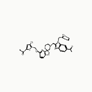 CC(=O)c1ccc2nc(CN3CCCC4(COc5ccc(OCc6sc(C(C)=O)cc6Cl)nc54)C3)n(C[C@@H]3CCO3)c2c1